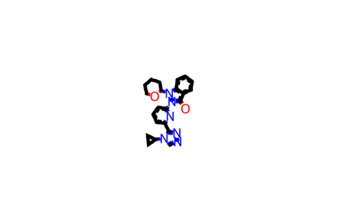 O=c1c2ccccc2n(C2CCCCO2)n1-c1cccc(-c2nncn2C2CC2)n1